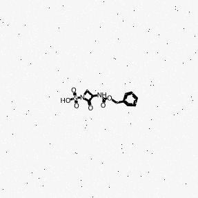 O=C(NC1CN(S(=O)(=O)O)C1=O)OCc1ccccc1